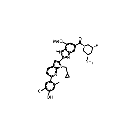 COc1cc(C(=O)N2C[C@H](N)C[C@@H](F)C2)cc2nc(-c3cc4ccc(-c5cc(Cl)c(O)cc5C)nc4n3CC3CC3)n(C)c12